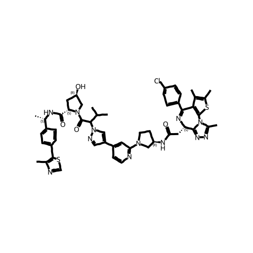 Cc1ncsc1-c1ccc([C@H](C)NC(=O)[C@@H]2C[C@@H](O)CN2C(=O)C(C(C)C)n2cc(-c3ccnc(N4CC[C@@H](NC(=O)C[C@@H]5N=C(c6ccc(Cl)cc6)c6c(sc(C)c6C)-n6c(C)nnc65)C4)c3)cn2)cc1